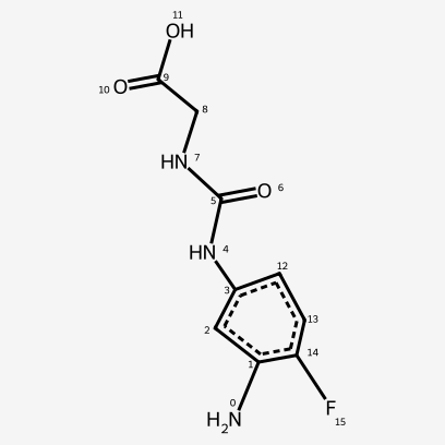 Nc1cc(NC(=O)NCC(=O)O)ccc1F